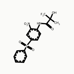 CC(O)(C(=O)Nc1ccc(S(=O)(=O)c2ccccc2)cc1[N+](=O)[O-])C(F)(F)F